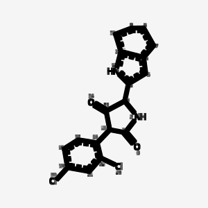 O=C1NC(c2cc3ccccc3[nH]2)C(=O)C1c1ccc(Cl)cc1Cl